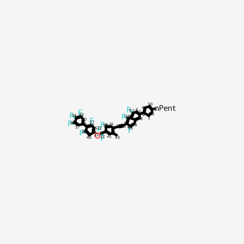 CCCCCc1ccc(-c2cc(F)c3c(F)c(C#Cc4cc(F)c(C(F)(F)Oc5cc(F)c(-c6cc(F)c(F)c(F)c6)c(F)c5)cc4C)c(F)cc3c2)cc1